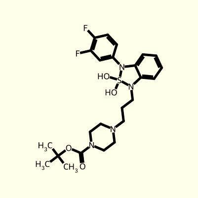 CC(C)(C)OC(=O)N1CCN(CCCN2c3ccccc3N(c3ccc(F)c(F)c3)S2(O)O)CC1